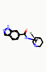 O=C(N[C@@H]1CC2CCN(CC2)C1)c1ccc2cn[nH]c2c1